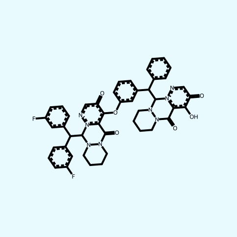 O=C1c2c(O)c(=O)cnn2C(C(c2ccccc2)c2cccc(Oc3c4n(ncc3=O)C(C(c3cccc(F)c3)c3cccc(F)c3)N3CCCCN3C4=O)c2)N2CCCCN12